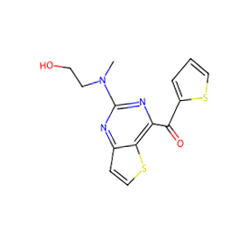 CN(CCO)c1nc(C(=O)c2cccs2)c2sccc2n1